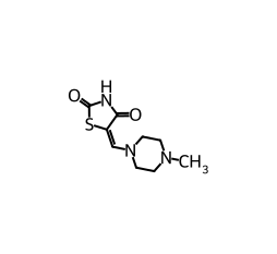 CN1CCN(C=C2SC(=O)NC2=O)CC1